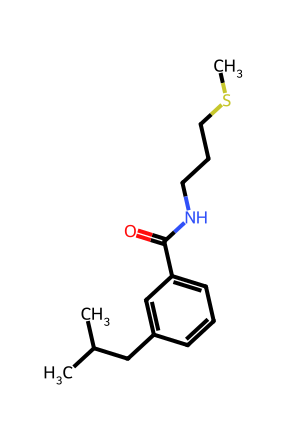 CSCCCNC(=O)c1cccc(CC(C)C)c1